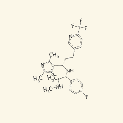 C=C(NC)[C@H](N[C@@H](CCc1ccc(C(F)(F)F)nc1)c1sc(C)nc1C)c1ccc(F)cc1